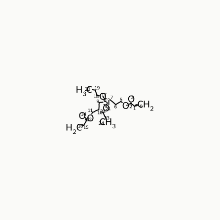 C=CC(=O)OCCC[Si](CCCOC(=O)C=C)(OCCC)OCCC